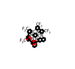 N#Cc1c(-n2c3ccc(C(F)(F)F)cc3c3cc(C(F)(F)F)ccc32)c(C#N)c(-n2c3ccccc3c3cc4ccccc4cc32)c(-n2c3ccccc3c3cc4ccccc4cc32)c1-n1c2ccc(C(F)(F)F)cc2c2cc(C(F)(F)F)ccc21